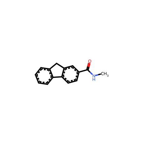 CNC(=O)c1ccc2c(c1)Cc1ccccc1-2